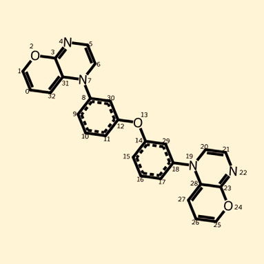 C1=COC2=NC=CN(c3cccc(Oc4cccc(N5C=CN=C6OC=CC=C65)c4)c3)C2=C1